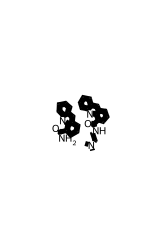 CN(C)CCNC(=O)c1cccc2cc3ccccc3nc12.NC(=O)c1cccc2cc3ccccc3nc12